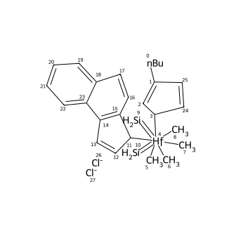 CCCCC1=C[CH]([Hf]([CH3])([CH3])([CH3])([CH3])(=[SiH2])(=[SiH2])[CH]2C=Cc3c2ccc2ccccc32)C=C1.[Cl-].[Cl-]